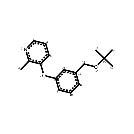 Cc1ncccc1Oc1cccc(COC(C)(C)C)c1